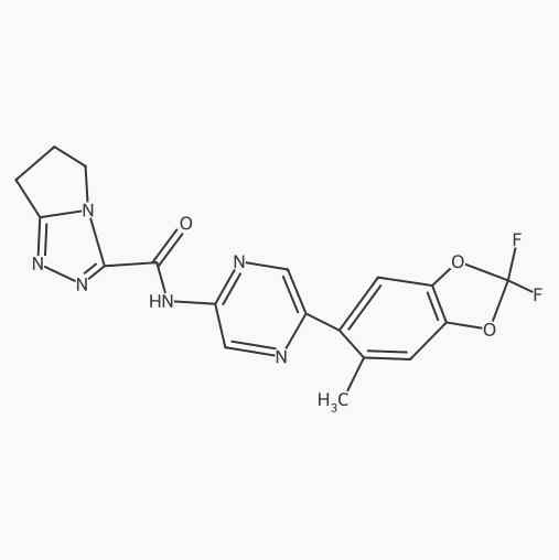 Cc1cc2c(cc1-c1cnc(NC(=O)c3nnc4n3CCC4)cn1)OC(F)(F)O2